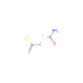 C=C(S)CSC(N)=O